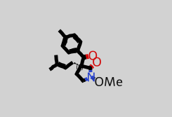 CON1CC[C@@](CC=C(C)C)(C(=O)c2ccc(C)cc2)C1=O